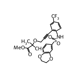 COC(=O)C(C)(C)OCC#Cc1cc(C(F)(F)F)ccc1NS(=O)(=O)c1ccc2c(c1)OCCO2